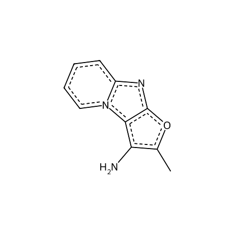 Cc1oc2nc3ccccn3c2c1N